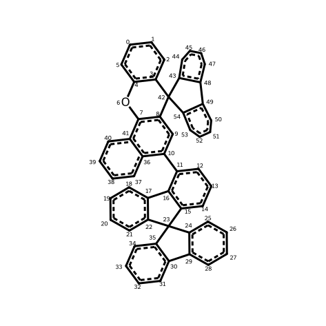 c1ccc2c(c1)Oc1c(cc(-c3cccc4c3-c3ccccc3C43c4ccccc4-c4ccccc43)c3ccccc13)C21c2ccccc2-c2ccccc21